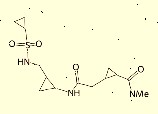 CNC(=O)C1CC1CC(=O)NC1CC1CNS(=O)(=O)C1CC1